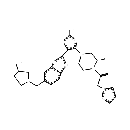 COC1CCN(Cc2ccc3nc(-c4nc(C(F)(F)F)sc4N4CCN(C(=O)Cn5cccn5)[C@H](C)C4)[nH]c3c2)C1